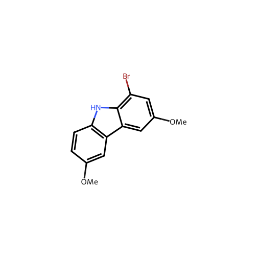 COc1ccc2[nH]c3c(Br)cc(OC)cc3c2c1